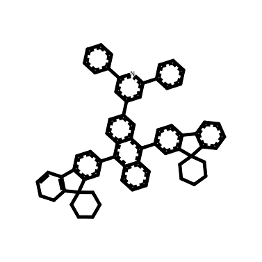 C1=CC2=C(CC1)C1(CCCCC1)c1cc(-c3c4ccccc4c(-c4ccc5c(c4)C4(CCCCC4)c4ccccc4-5)c4cc(-c5cc(-c6ccccc6)nc(-c6ccccc6)c5)ccc34)ccc12